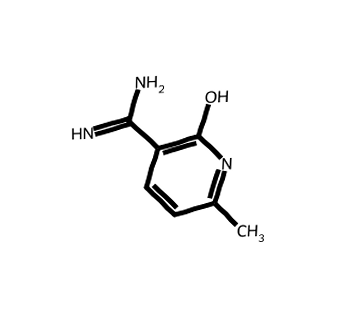 Cc1ccc(C(=N)N)c(O)n1